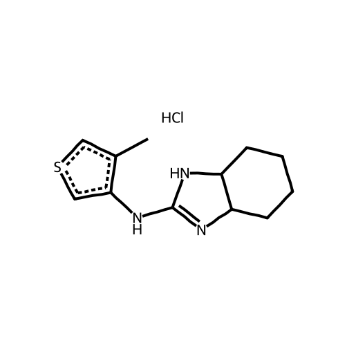 Cc1cscc1NC1=NC2CCCCC2N1.Cl